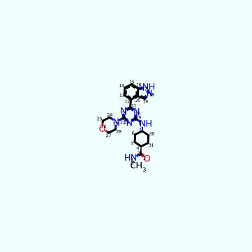 CNC(=O)[C@H]1CC[C@@H](Nc2nc(-c3cccc4[nH]ncc34)nc(N3CCOCC3)n2)CC1